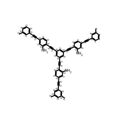 Cc1cccc(C#Cc2ccc(C#Cc3cc(C#Cc4ccc(C#Cc5cccc(C)c5)cc4N)cc(C#Cc4ccc(C#Cc5cc(C)cc(C)c5)cc4N)c3)c(N)c2)c1